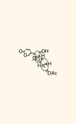 CC(=O)O[C@H]1CC[C@@]2(C)[C@H](CC[C@@H]3[C@@H]2CC[C@]2(C)[C@@H](c4ccc(=O)oc4)C[C@H](O)[C@]32O)C1